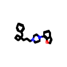 c1ccc(CC2(CCCN3CCN(c4cccc5ccoc45)CC3)CCC2)cc1